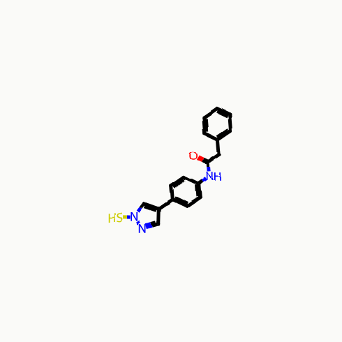 O=C(Cc1ccccc1)Nc1ccc(-c2cnn(S)c2)cc1